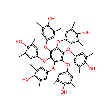 Cc1cc(Oc2c(Oc3cc(C)c(O)c(C)c3)c(Oc3cc(C)c(O)c(C)c3)c(Oc3cc(C)c(O)c(C)c3)c(Oc3cc(C)c(O)c(C)c3)c2Oc2cc(C)c(O)c(C)c2)cc(C)c1O